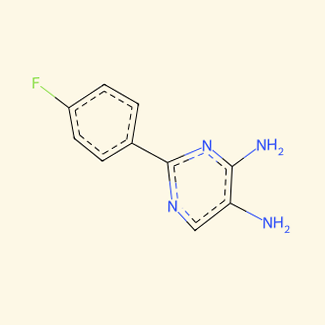 Nc1cnc(-c2ccc(F)cc2)nc1N